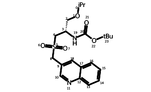 CC(C)OC[C@@H](CS(=O)(=O)Cc1cnc2ccccc2c1)NC(=O)OC(C)(C)C